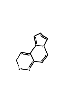 C1=c2c(ccn3cccc23)=NSC1